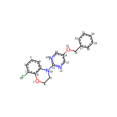 Fc1cccc2c1OCCN2c1ncc(OCc2ccccc2)cn1